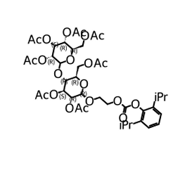 CC(=O)OC[C@H]1O[C@@H](OCCOC(=O)Oc2c(C(C)C)cccc2C(C)C)[C@H](OC(C)=O)[C@@H](OC(C)=O)[C@@H]1OC1O[C@H](COC(C)=O)[C@@H](OC(C)=O)[C@H](OC(C)=O)[C@H]1OC(C)=O